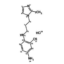 Cc1nccn1CCCNc1ccc(N)cc1C#N.Cl